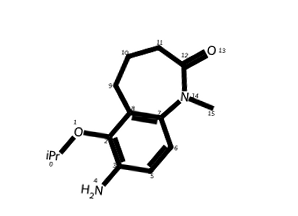 CC(C)Oc1c(N)ccc2c1CCCC(=O)N2C